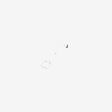 Cc1cc(C2=C[C@@H]3NC[C@@H]3CC2)on1